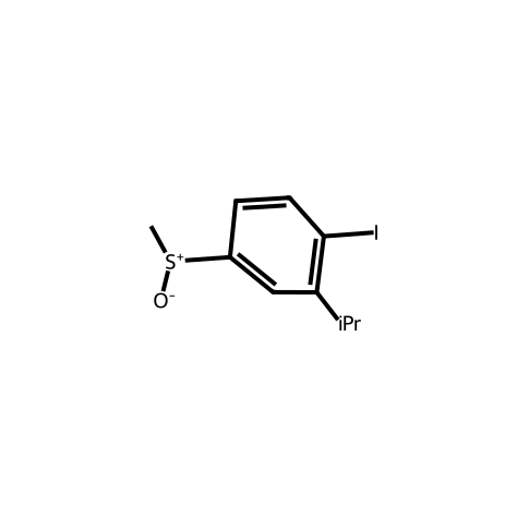 CC(C)c1cc([S+](C)[O-])ccc1I